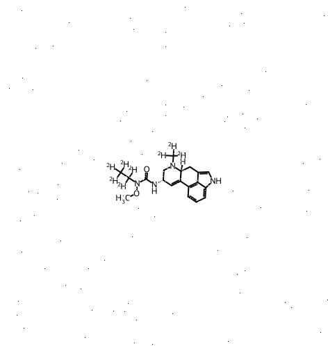 [2H]C([2H])([2H])N1C[C@@H](NC(=O)N(OC)C([2H])([2H])C([2H])([2H])[2H])C=C2c3cccc4[nH]cc(c34)C[C@H]21